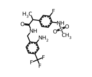 CC(C(=O)NCc1ccc(C(F)(F)F)cc1N)c1ccc(NS(C)(=O)=O)c(F)c1